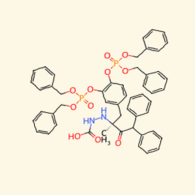 C[C@@](Cc1ccc(OP(=O)(OCc2ccccc2)OCc2ccccc2)c(OP(=O)(OCc2ccccc2)OCc2ccccc2)c1)(NNC(=O)O)C(=O)C(c1ccccc1)c1ccccc1